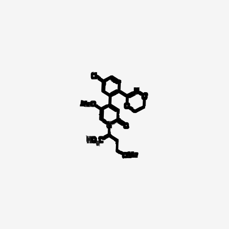 COCCC(C(=O)O)n1cc(OC)c(-c2cc(Cl)ccc2C2=NOCCO2)cc1=O